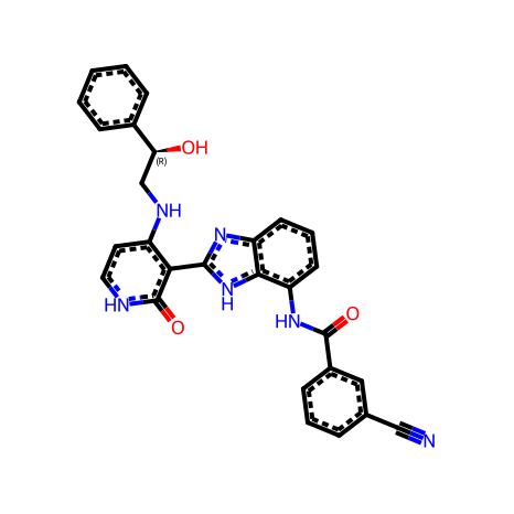 N#Cc1cccc(C(=O)Nc2cccc3nc(-c4c(NC[C@H](O)c5ccccc5)cc[nH]c4=O)[nH]c23)c1